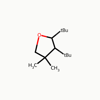 CC(C)(C)C1OCC(C)(C)C1C(C)(C)C